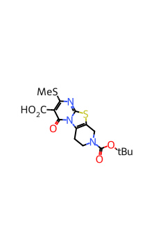 CSc1nc2sc3c(n2c(=O)c1C(=O)O)CCN(C(=O)OC(C)(C)C)C3